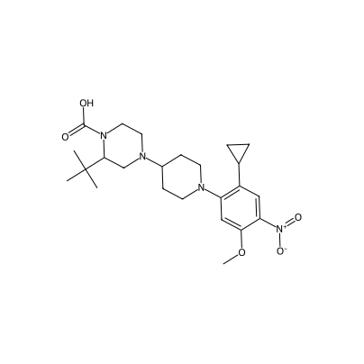 COc1cc(N2CCC(N3CCN(C(=O)O)C(C(C)(C)C)C3)CC2)c(C2CC2)cc1[N+](=O)[O-]